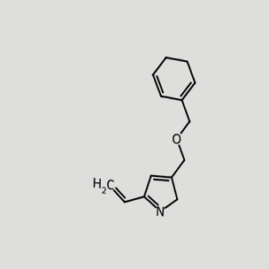 C=CC1=NCC(COCC2=CCCC=C2)=C1